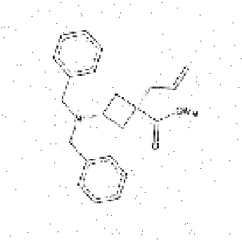 C=CC[C@]1(C(=O)OC)C[C@H](N(Cc2ccccc2)Cc2ccccc2)C1